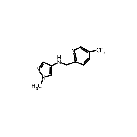 Cn1cc(NCc2ccc(C(F)(F)F)cn2)cn1